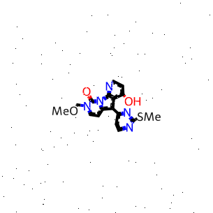 COCn1ccc2c(-c3ccnc(SC)n3)c3c(O)ccnc3n2c1=O